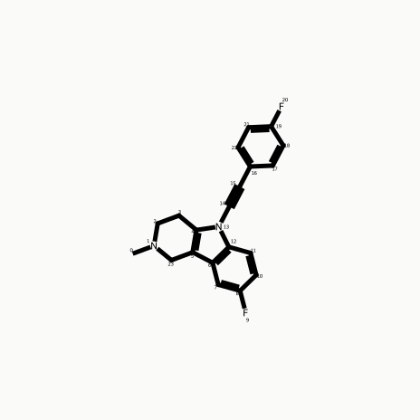 CN1CCc2c(c3cc(F)ccc3n2C#Cc2ccc(F)cc2)C1